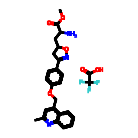 COC(=O)C(N)CC1CC(c2ccc(OCc3cc(C)nc4ccccc34)cc2)=NO1.O=C(O)C(F)(F)F